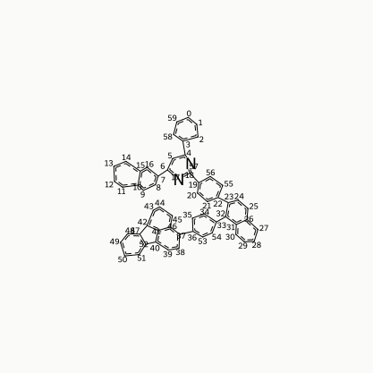 c1ccc(-c2cc(-c3ccc4ccccc4c3)nc(-c3ccc(-c4ccc5ccccc5c4-c4ccc(-c5ccc6c7c(cccc57)-c5ccccc5-6)cc4)cc3)n2)cc1